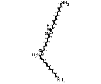 NCCCCCCCCCCCCC(N)OC(=O)CCCCCCCC(=O)OC(N)CCCCCCCCCCCCN